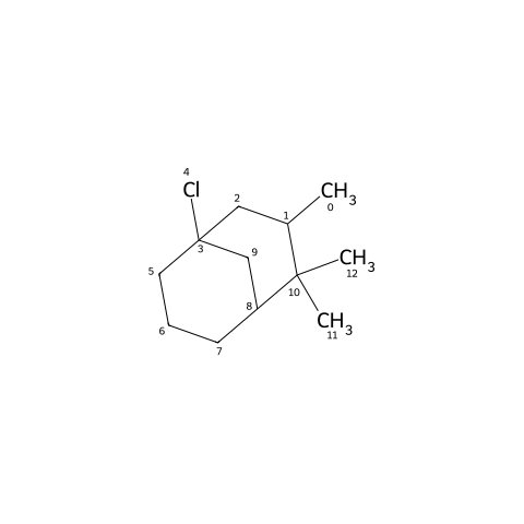 CC1CC2(Cl)CCCC(C2)C1(C)C